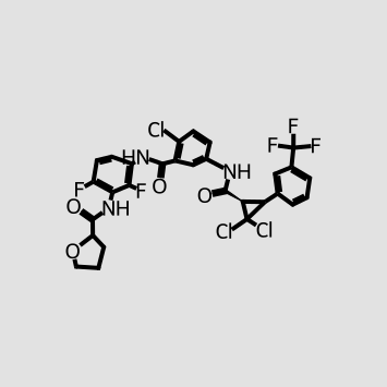 O=C(Nc1ccc(F)c(NC(=O)C2CCCO2)c1F)c1cc(NC(=O)[C@H]2C(c3cccc(C(F)(F)F)c3)C2(Cl)Cl)ccc1Cl